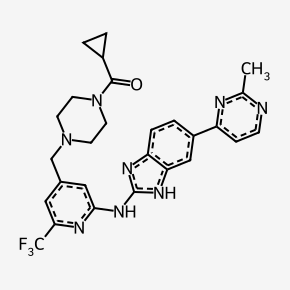 Cc1nccc(-c2ccc3nc(Nc4cc(CN5CCN(C(=O)C6CC6)CC5)cc(C(F)(F)F)n4)[nH]c3c2)n1